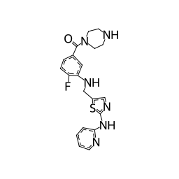 O=C(c1ccc(F)c(NCc2cnc(Nc3ccccn3)s2)c1)N1CCNCC1